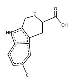 O=C(O)C1Cc2c([nH]c3ccc(Cl)cc23)CN1